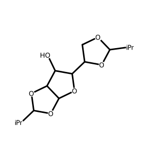 CC(C)C1OCC(C2OC3OC(C(C)C)OC3C2O)O1